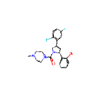 CN1CCN(C(=O)N2CC(c3cc(F)ccc3F)=CC2c2ccccc2O)CC1